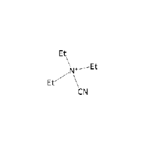 CC[N+](C#N)(CC)CC